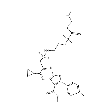 CNC(=O)c1c(-c2ccc(C)cc2)oc2nc(CS(=O)(=O)NCCCC(C)(C)C(=O)OCC(C)C)c(C3CC3)cc12